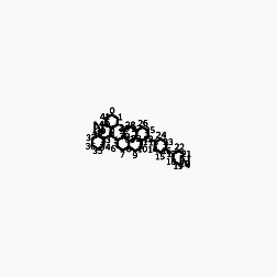 c1ccc2c(-c3ccc4ccc5c(-c6ccc(-c7ccncc7)cc6)ccc6ccc3c4c65)c3ccccc3nc2c1